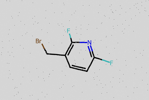 Fc1ccc(CBr)c(F)n1